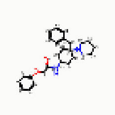 O=C(COc1ccccc1)NC1CCC(Cc2ccccc2)(N2CCCCC2)CC1